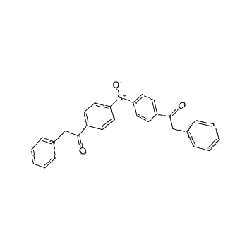 O=C(Cc1ccccc1)c1ccc([S+]([O-])c2ccc(C(=O)Cc3ccccc3)cc2)cc1